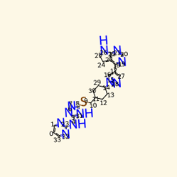 c1cnc(Nc2nnc(SCC3CCC(n4cc(-c5ncnc6c5CCN6)cn4)CC3)[nH]2)nc1